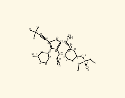 CCP(=O)(CC)O[C@H]1CC[C@H](N(c2cc(C#CC(C)(C)C)sc2C(=O)O)C(=O)[C@H]2CC[C@H](C)CC2)CC1